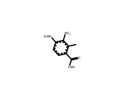 COC(=O)c1ccc(NC(C)=O)c([N+](=O)[O-])c1C